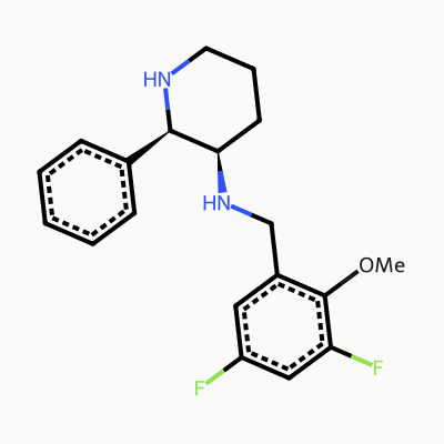 COc1c(F)cc(F)cc1CN[C@@H]1CCCN[C@@H]1c1ccccc1